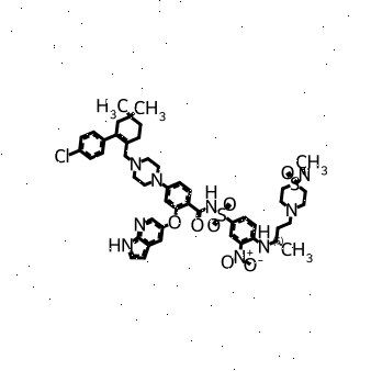 CN=S1(=O)CCN(CC[C@H](C)Nc2ccc(S(=O)(=O)NC(=O)c3ccc(N4CCN(CC5=C(c6ccc(Cl)cc6)CC(C)(C)CC5)CC4)cc3Oc3cnc4[nH]ccc4c3)cc2[N+](=O)[O-])CC1